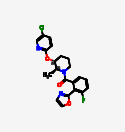 C[C@H]1[C@H](Oc2ccc(Cl)cn2)CCCN1C(=O)c1cccc(F)c1-c1ncco1